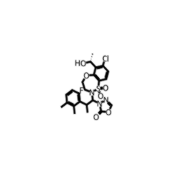 Cc1ccc(F)c(C(C)C(N2CCOc3c(ccc(Cl)c3[C@@H](C)O)S2(=O)=O)n2ncoc2=O)c1C